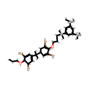 CCCOC1C(Br)=CC(C(C)(C)C2C=C(Br)C(OCCC[Si](C)(C)c3cc([SiH](C)C)cc([SiH](C)C)c3)=C(Br)C2)=CC1Br